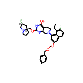 CCc1c(F)ccc2cc(OCOCc3ccccc3)cc(N3CCc4c(O)nc(OC[C@@]56CCCN5C[C@H](F)C6)nc4C3)c12